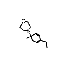 CCC1=CCC(C)(N2CCOCC2)C=C1